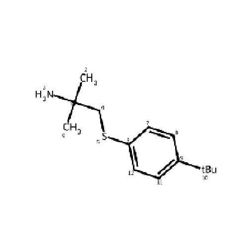 CC(C)(N)CSc1ccc(C(C)(C)C)cc1